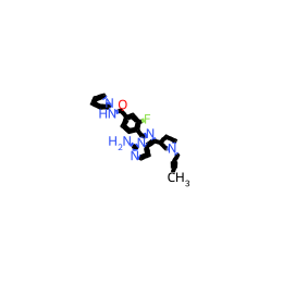 CC#CCN1CCC(c2nc(-c3ccc(C(=O)Nc4ccccn4)cc3F)n3c(N)nccc23)C1